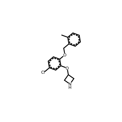 Cc1ccccc1COc1ccc(Cl)cc1OC1CNC1